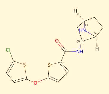 O=C(N[C@@H]1C[C@H]2CC[C@@H]1N2)c1ccc(Oc2ccc(Cl)s2)s1